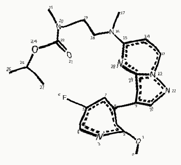 COc1ncc(F)cc1-c1cnn2ccc(N(C)CCN(C)C(=O)OC(C)C)nc12